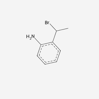 CC(Br)c1ccccc1N